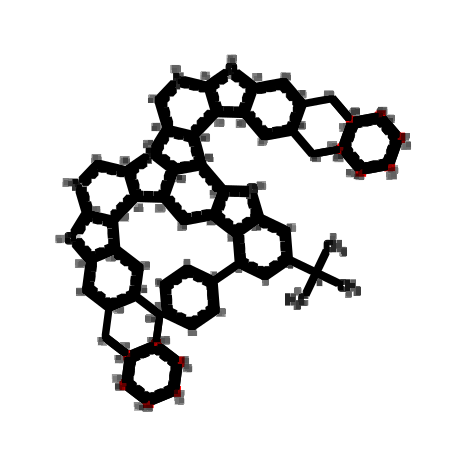 CC(C)(C)c1cc(-c2ccccc2)c2c(c1)oc1c2cc2c3c4c(ncc3n3c5cnc6oc7cc8c(cc7c6c5c1c23)C1c2ccccc2C8c2ccccc21)oc1cc2c(cc14)C1c3ccccc3C2c2ccccc21